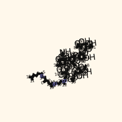 C=C(C/C=C(\C)CCC=C(C)C)CCC(C)(C)/C=C/CC/C(C)=C\CO[C@H](CO[PH](=O)O[C@H]1OC(C(C)=O)[C@@](C)(O)[C@H](OC(N)=O)C1O[C@@H]1OC(CO[C@@H]2OC(COC(C)=O)[C@@H](O)C(O)[C@@H]2OC(C)=O)[C@@H](O[C@@H]2OC(C)[C@@H](O[C@@H]3OC(C(C)=O)[C@H](O)C(O)[C@@H]3OC(C)=O)C(O)[C@@H]2C)C(O)[C@@H]1C)C(=O)OC